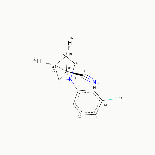 N#C[C@@]12C3[C@H]1[C@H]2CN3c1cccc(F)c1